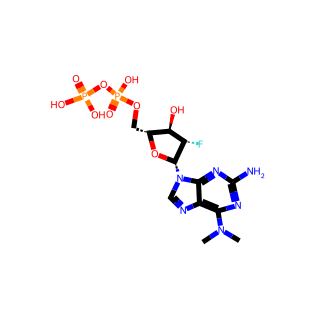 CN(C)c1nc(N)nc2c1ncn2[C@@H]1O[C@H](COP(=O)(O)OP(=O)(O)O)[C@@H](O)[C@@H]1F